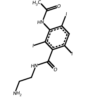 CC(=O)Nc1c(I)cc(I)c(C(=O)NCCN)c1I